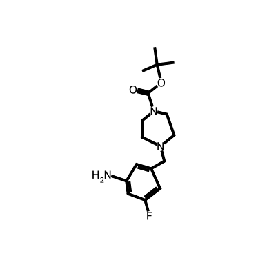 CC(C)(C)OC(=O)N1CCN(Cc2cc(N)cc(F)c2)CC1